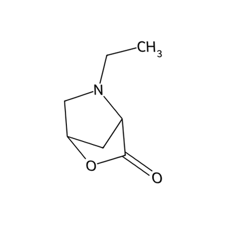 CCN1CC2CC1C(=O)O2